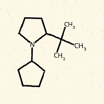 CC(C)(C)C1CCCN1C1CCCC1